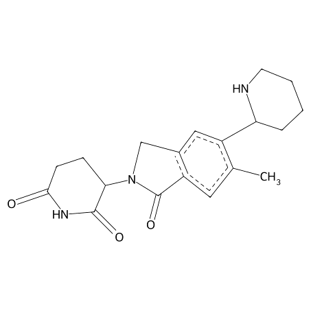 Cc1cc2c(cc1C1CCCCN1)CN(C1CCC(=O)NC1=O)C2=O